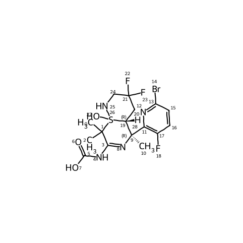 CC1(C)C(NC(=O)O)=N[C@](C)(c2nc(Br)ccc2F)[C@H]2CC(F)(F)CNS21O